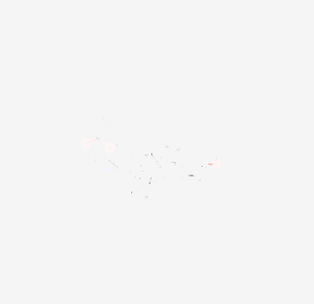 CCCC(=O)O/C(C=O)=C1/CC[C@H]2[C@@H]3CCC4=CC(=O)CC[C@]4(C)C3=CC[C@]12C